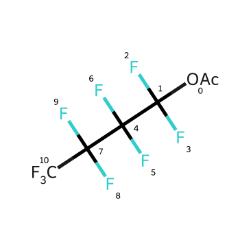 CC(=O)OC(F)(F)C(F)(F)C(F)(F)C(F)(F)F